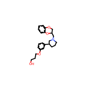 OCCCOc1cccc(C2CCCN(CC3COc4ccccc4O3)C2)c1